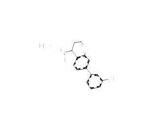 O=C(O)NC1CCSc2cc(-c3cccc(Cl)c3)ccc21